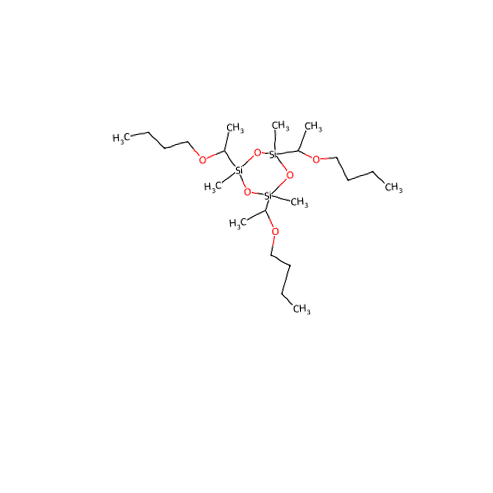 CCCCOC(C)[Si]1(C)O[Si](C)(C(C)OCCCC)O[Si](C)(C(C)OCCCC)O1